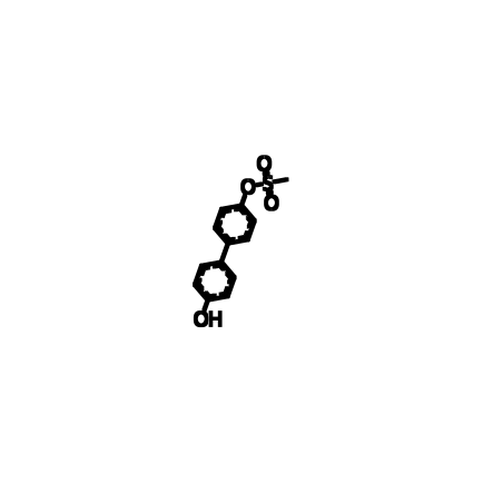 CS(=O)(=O)Oc1ccc(-c2ccc(O)cc2)cc1